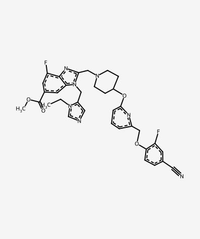 CCn1cncc1Cn1c(CN2CCC(Oc3cccc(COc4ccc(C#N)cc4F)n3)CC2)nc2c(F)cc(C(=O)OC)cc21